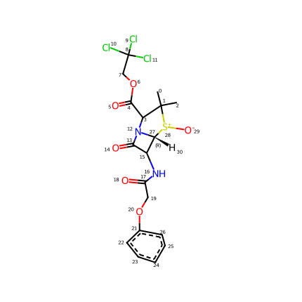 CC1(C)C(C(=O)OCC(Cl)(Cl)Cl)N2C(=O)C(NC(=O)COc3ccccc3)[C@H]2[S+]1[O-]